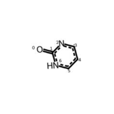 O=c1n[c]cc[nH]1